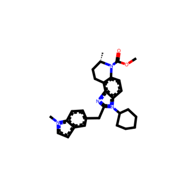 COC(=O)N1c2ccc3c(nc(Cc4ccc5c(ccn5C)c4)n3C3CCCCC3)c2CC[C@@H]1C